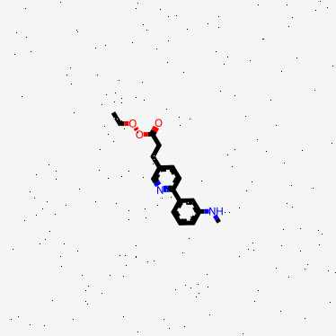 CCOOC(=O)CCc1ccc(-c2cccc(NC)c2)nc1